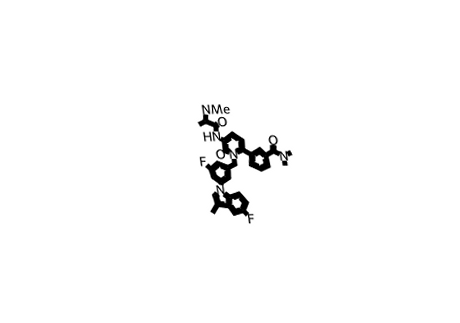 CNC(C)C(=O)Nc1ccc(-c2cccc(C(=O)N(C)C)c2)n(Cc2cc(F)cc(-n3cc(C)c4cc(F)ccc43)c2)c1=O